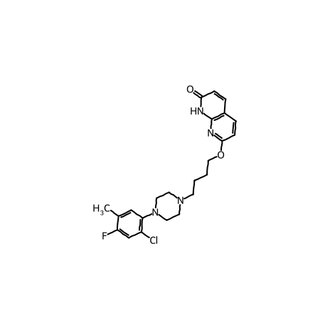 Cc1cc(N2CCN(CCCCOc3ccc4ccc(=O)[nH]c4n3)CC2)c(Cl)cc1F